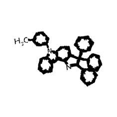 Cc1cccc(-n2c3ccccc3c3c4c(ccc32)C(c2ccccc2)(c2ccccc2)C(c2ccccc2)=N4)c1